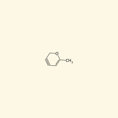 CC1=CC#CCO1